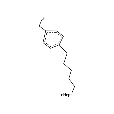 [Li][CH2]c1ccc(CCCCCCCCCCCC)cc1